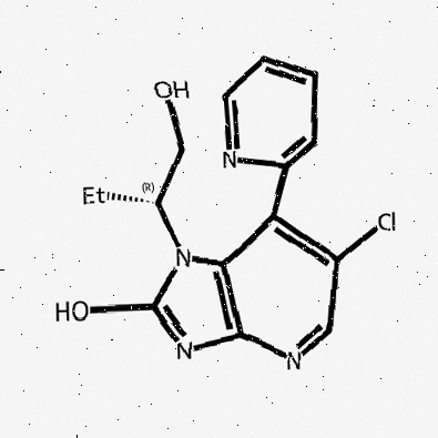 CC[C@H](CO)n1c(O)nc2ncc(Cl)c(-c3ccccn3)c21